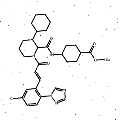 CC(C)(C)OC(=O)C1CCC(NC(=O)C2C(C3CCCCC3)CCCN2C(=O)/C=C/c2cc(Cl)ccc2-n2cnnn2)CC1